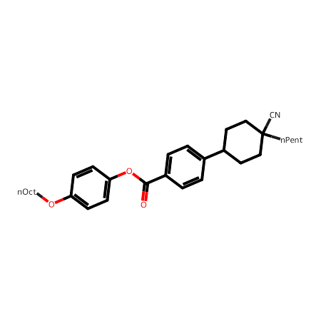 CCCCCCCCOc1ccc(OC(=O)c2ccc(C3CCC(C#N)(CCCCC)CC3)cc2)cc1